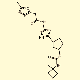 Cc1cnc(CC(=O)Nc2cc([C@H]3CC[C@@H](OC(=O)NC4(C)CCC4)C3)[nH]n2)o1